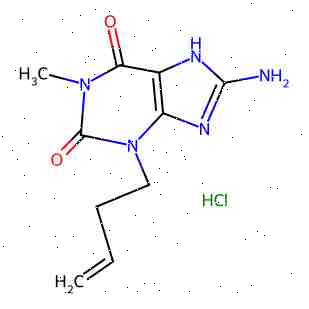 C=CCCn1c(=O)n(C)c(=O)c2[nH]c(N)nc21.Cl